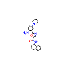 Nc1ccc(N2CCCCC2)cc1-c1ncc(C(=O)N[C@H]2CCCc3ccccc32)o1